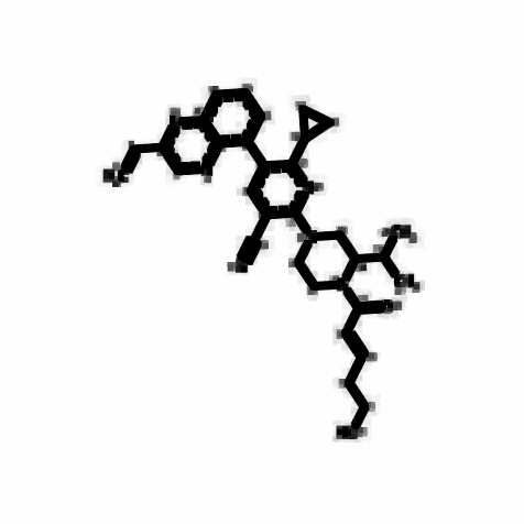 C=Cc1cnc2c(-c3cc(C#N)c(N4CCN(C(=O)C=CCCO)C(C(C)C)C4)nc3C3CC3)cccc2n1